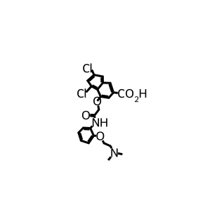 CN(C)CCOc1ccccc1NC(=O)COc1cc(C(=O)O)cc2cc(Cl)cc(Cl)c12